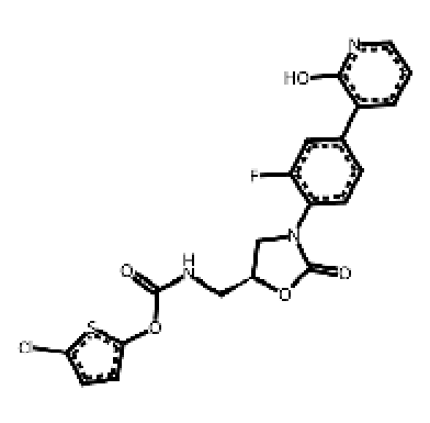 O=C(NC[C@H]1CN(c2ccc(-c3cccnc3O)cc2F)C(=O)O1)Oc1ccc(Cl)s1